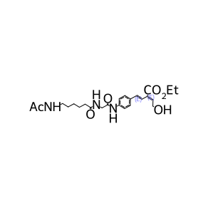 CCOC(=O)C(/C=C/c1ccc(NC(=O)CNC(=O)CCCCCNC(C)=O)cc1)=C/CO